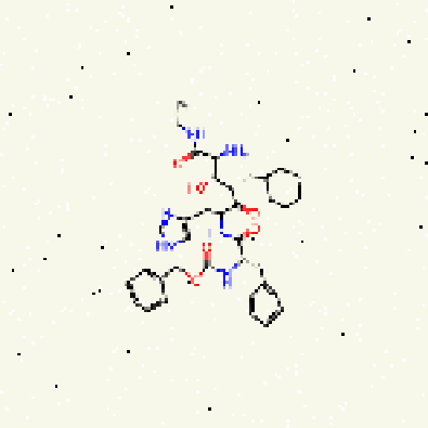 CC(C)CNC(=O)C(N)[C@@H](O)[C@H](CC1CCCCC1)C(=O)[C@H](Cc1c[nH]cn1)NC(=O)[C@H](Cc1ccccc1)NC(=O)OCc1ccccc1